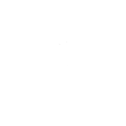 CCOC(=O)c1cccc(NO)c1Cl